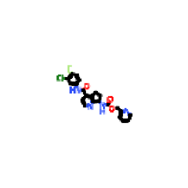 O=C(NC1CCc2c(C(=O)Nc3ccc(F)c(Cl)c3)ccnc21)OCc1ccccn1